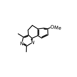 COc1ccc2c(c1)CCc1c(C)nc(C)nc1-2